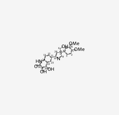 COc1ccc(S2(CO)C=NC(c3ccc4[nH]c(=O)c(O)c(O)c4c3)=C2)cc1OC